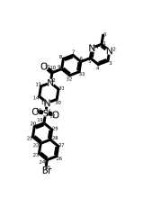 Cc1nccc(-c2ccc(C(=O)N3CCN(S(=O)(=O)c4ccc5cc(Br)ccc5c4)CC3)cc2)n1